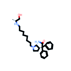 C[C@H](CO)NCCCCCCCCN1CC[C@@H](C(C(N)=O)(c2ccccc2)c2ccccc2)C1